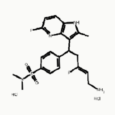 Cc1[nH]c2ccc(F)nc2c1C(C/C(F)=C/CN)c1ccc(S(=O)(=O)N(C)C)cc1.Cl.Cl